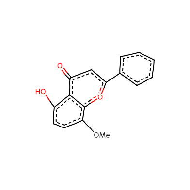 COc1ccc(O)c2c(=O)cc(-c3ccccc3)oc12